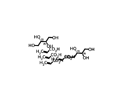 C=CC(=O)O.C=CC(=O)O.C=CC(=O)O.C=CC(=O)O.OC[C@@H](O)[C@@H](O)CO.OC[C@@H](O)[C@@H](O)CO